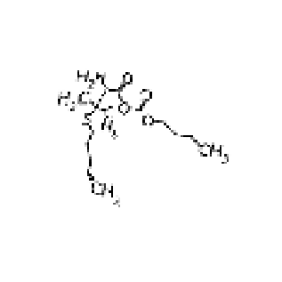 C=CCCCSC(C)(C)[C@H](N)C(=O)OC(=O)OCCCC